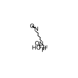 O=C=NCCCCCCN(CC(F)(F)F)C(=O)O